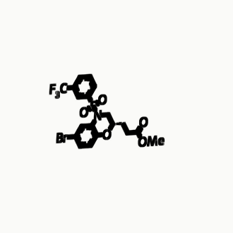 COC(=O)CC[C@H]1CN(S(=O)(=O)c2cccc(C(F)(F)F)c2)c2cc(Br)ccc2O1